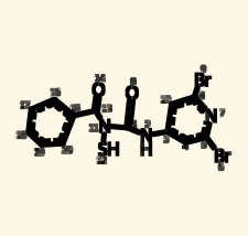 O=C(Nc1cc(Br)nc(Br)c1)N(S)C(=O)c1ccccc1